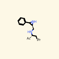 CC(=O)[C@@H](CC(C)C)NC[C@@H]1NC1c1ccccc1